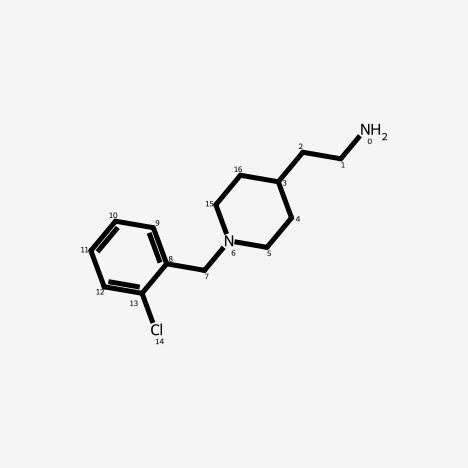 NCCC1CCN(Cc2ccccc2Cl)CC1